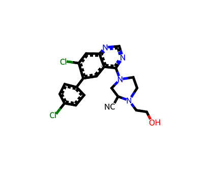 N#CC1CN(c2ncnc3cc(Cl)c(-c4ccc(Cl)cc4)cc23)CCN1CCO